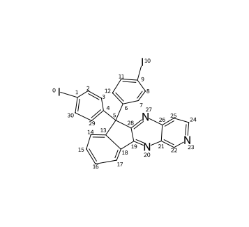 Ic1ccc(C2(c3ccc(I)cc3)c3ccccc3-c3nc4cnccc4nc32)cc1